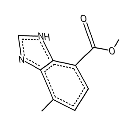 COC(=O)c1ccc(C)c2nc[nH]c12